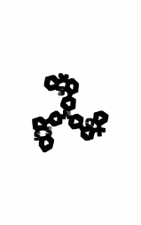 CC1(C)c2ccccc2Oc2c(-c3ccc(N(c4ccc(-c5cccc6c5Sc5ccccc5S6)cc4)c4ccc(-c5cccc6c5Sc5ccccc5C6(C)C)cc4)cc3)cccc21